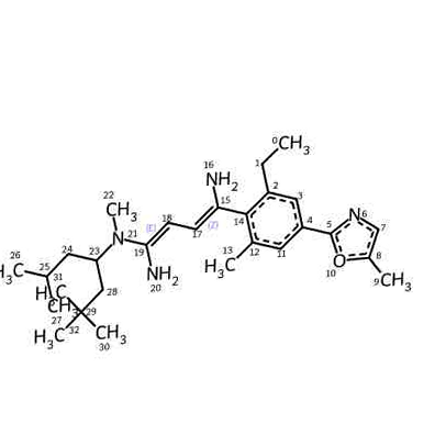 CCc1cc(-c2ncc(C)o2)cc(C)c1/C(N)=C/C=C(\N)N(C)C(CC(C)C)CC(C)(C)C